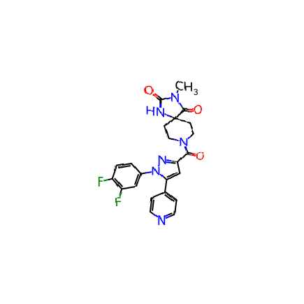 CN1C(=O)NC2(CCN(C(=O)c3cc(-c4ccncc4)n(-c4ccc(F)c(F)c4)n3)CC2)C1=O